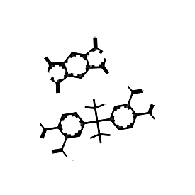 O=C(O)c1ccc(C(c2ccc(C(=O)O)c(C(=O)O)c2)(C(F)(F)F)C(F)(F)F)cc1C(=O)O.O=c1oc(=O)c2cc3c(=O)oc(=O)c3cc12